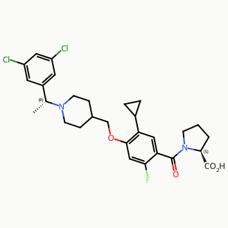 C[C@H](c1cc(Cl)cc(Cl)c1)N1CCC(COc2cc(F)c(C(=O)N3CCC[C@H]3C(=O)O)cc2C2CC2)CC1